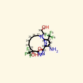 Nc1cc(C(F)(F)F)c2nc1-c1nnc(o1)C(O)(C(F)(F)F)CCCCCCN2CCO